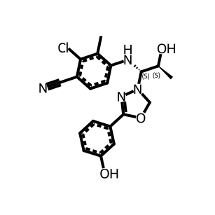 Cc1c(N[C@H]([C@H](C)O)N2COC(c3cccc(O)c3)=N2)ccc(C#N)c1Cl